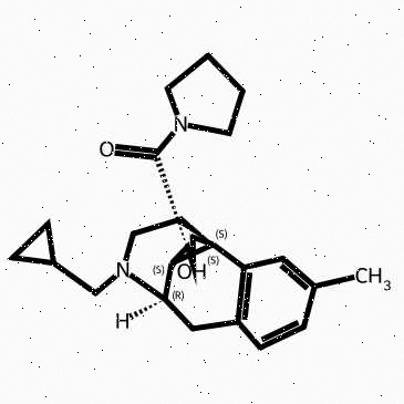 Cc1ccc2c(c1)[C@]13CCN(CC4CC4)[C@H](C2)[C@]1(O)C[C@@H](C(=O)N1CCCC1)C3